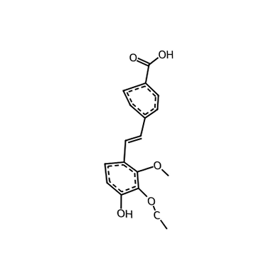 CCOc1c(O)ccc(/C=C/c2ccc(C(=O)O)cc2)c1OC